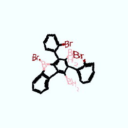 Bc1c(-c2ccccc2Br)c(B)c2c(c1-c1ccccc1Br)B(Br)c1ccccc1-2